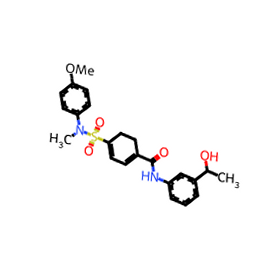 COc1ccc(N(C)S(=O)(=O)C2=CC=C(C(=O)Nc3cccc(C(C)O)c3)CC2)cc1